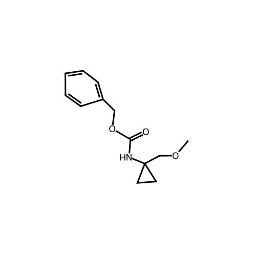 COCC1(NC(=O)OCc2ccccc2)CC1